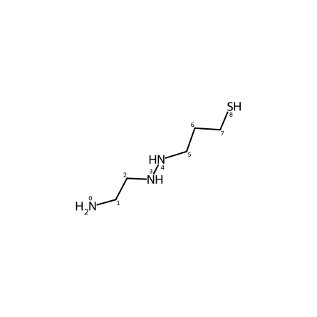 NCCNNCCCS